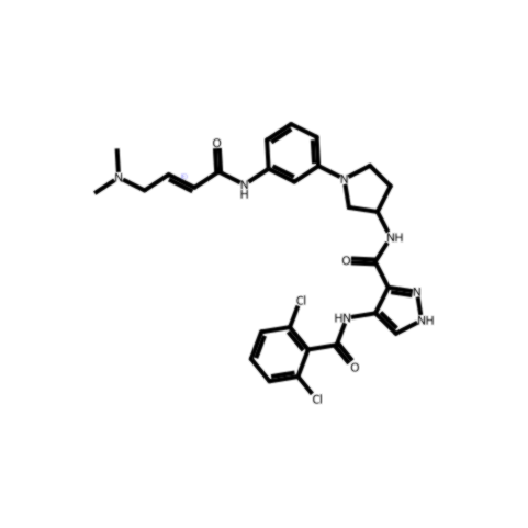 CN(C)C/C=C/C(=O)Nc1cccc(N2CCC(NC(=O)c3n[nH]cc3NC(=O)c3c(Cl)cccc3Cl)C2)c1